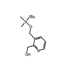 CC(C)(C)[Si](C)(C)OCc1cccnc1CO